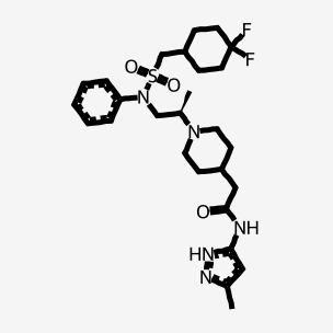 Cc1cc(NC(=O)CC2CCN([C@H](C)CN(c3ccccc3)S(=O)(=O)CC3CCC(F)(F)CC3)CC2)[nH]n1